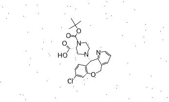 CC(C)(C)OC(=O)N1CCN([C@H]2c3ccc(Cl)cc3OCc3cccnc32)C[C@@H]1C(=O)O